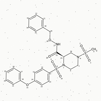 CS(=O)(=O)N1CCN(S(=O)(=O)c2ccc(Oc3ccccc3)cc2)[C@@H](C(=O)NOCc2ccccc2)C1